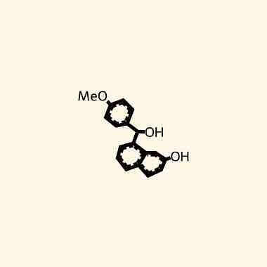 COc1ccc(C(O)c2cccc3ccc(O)cc23)cc1